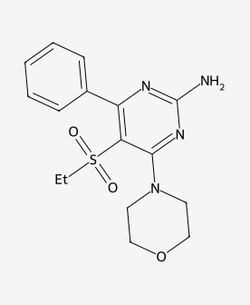 CCS(=O)(=O)c1c(-c2ccccc2)nc(N)nc1N1CCOCC1